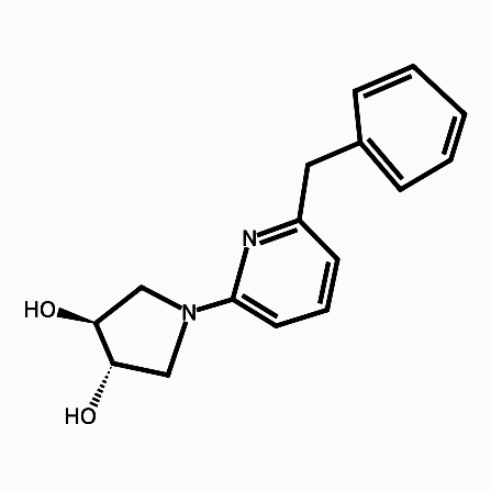 O[C@H]1CN(c2cccc(Cc3ccccc3)n2)C[C@@H]1O